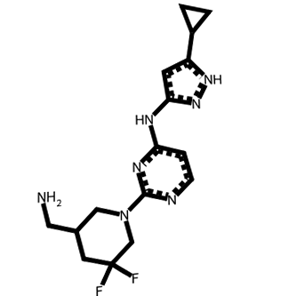 NCC1CN(c2nccc(Nc3cc(C4CC4)[nH]n3)n2)CC(F)(F)C1